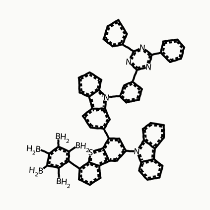 Bc1c(B)c(B)c(-c2cccc3c2sc2c(-c4ccc5c6ccccc6n(-c6cccc(-c7nc(-c8ccccc8)nc(-c8ccccc8)n7)c6)c5c4)cc(-n4c5ccccc5c5ccccc54)cc23)c(B)c1B